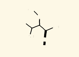 CC(C)(C)OC(C(O)=C=O)C(N)O